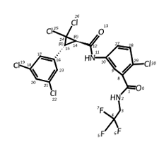 O=C(NCC(F)(F)F)c1cc(NC(=O)[C@H]2[C@H](c3cc(Cl)cc(Cl)c3)C2(Cl)Cl)ccc1Cl